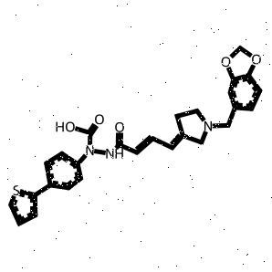 O=C(C=CC=C1CCN(Cc2ccc3c(c2)OCO3)C1)NN(C(=O)O)c1ccc(-c2cccs2)cc1